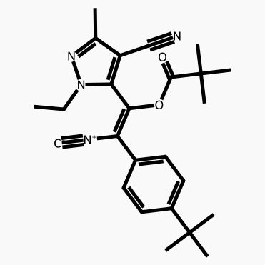 [C-]#[N+]C(=C(OC(=O)C(C)(C)C)c1c(C#N)c(C)nn1CC)c1ccc(C(C)(C)C)cc1